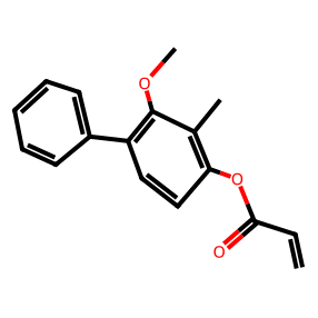 C=CC(=O)Oc1ccc(-c2ccccc2)c(OC)c1C